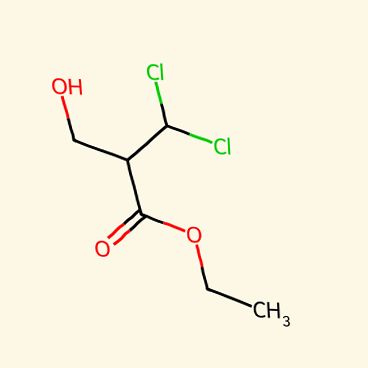 CCOC(=O)C(CO)C(Cl)Cl